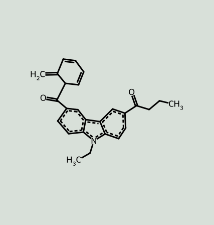 C=C1C=CC=CC1C(=O)c1ccc2c(c1)c1cc(C(=O)CCC)ccc1n2CC